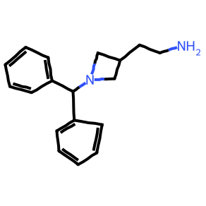 NCCC1CN(C(c2ccccc2)c2ccccc2)C1